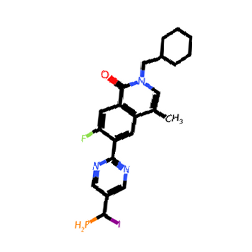 Cc1cn(CC2CCCCC2)c(=O)c2cc(F)c(-c3ncc(C(P)I)cn3)cc12